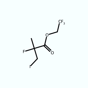 CC(F)(CI)C(=O)OCC(F)(F)F